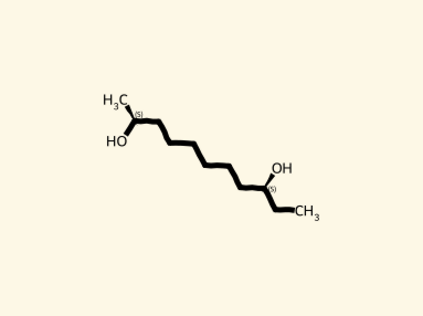 CC[C@H](O)CCCCCC[C@H](C)O